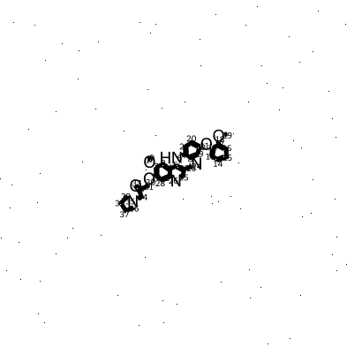 COc1cc2c(Nc3ccc(Oc4ccccc4OC)cc3)c(C#N)cnc2cc1OCC(=O)CN1CCCC1